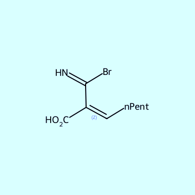 CCCCC/C=C(\C(=N)Br)C(=O)O